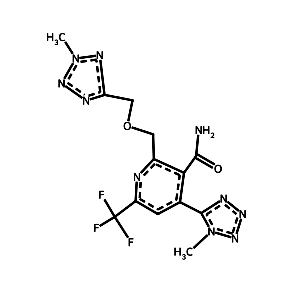 Cn1nnc(COCc2nc(C(F)(F)F)cc(-c3nnnn3C)c2C(N)=O)n1